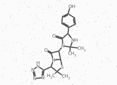 CC1(C)SC2C(N3C(=O)C(c4ccc(O)cc4)NC3(C)C)C(=O)N2C1c1nnn[nH]1